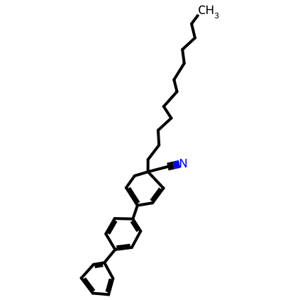 CCCCCCCCCCCCC1(C#N)C=CC(c2ccc(-c3ccccc3)cc2)=CC1